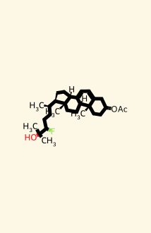 CC(=O)OC1CC[C@@]2(C)C(=CC=C3[C@@H]4CC[C@H]([C@H](C)CCC(F)C(C)(C)O)[C@@]4(C)CC[C@@H]32)C1